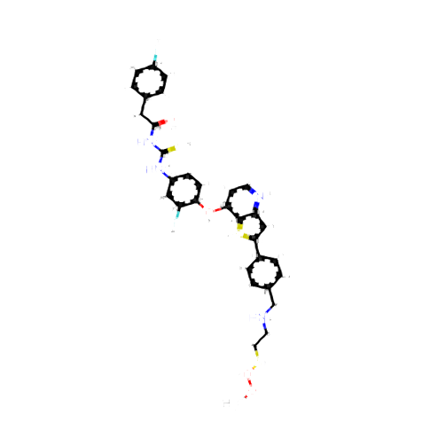 COOSCCNCc1ccc(-c2cc3nccc(Oc4ccc(NC(=S)NC(=O)Cc5ccc(F)cc5)cc4F)c3s2)cc1